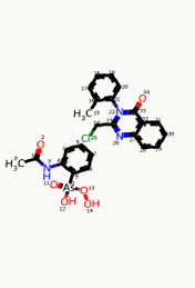 CC(=O)Nc1ccccc1[As](=O)(O)OO.Cc1ccccc1-n1c(CCl)nc2ccccc2c1=O